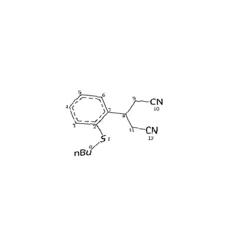 CCCCSc1ccccc1C(CC#N)CC#N